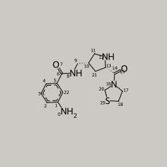 Nc1cccc(C(=O)NC[C@@H]2CN[C@H](C(=O)N3CCSC3)C2)c1